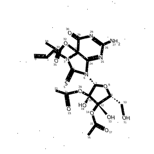 C=CCN1C(=S)N([C@@H]2O[C@H](CO)[C@](O)(OC(C)=O)[C@]2(O)OC(C)=O)C2=NC(N)=NC(=O)C21OC(C)=O